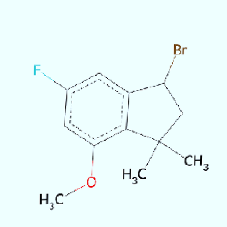 COc1cc(F)cc2c1C(C)(C)CC2Br